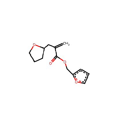 C=C(CC1CCCO1)C(=O)OCc1ccco1